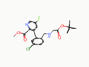 COC(=O)c1ncc(F)cc1-c1cc(Cl)ccc1CNCC(=O)OC(C)(C)C